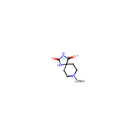 CON1CCC2(CC1)NC(=O)NC2=O